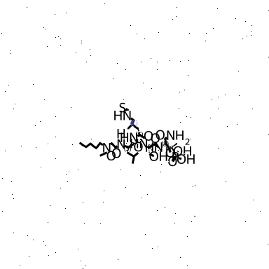 CCCCCN(CC(=O)N[C@@H](CC(C)C)C(=O)N[C@@H](C/C(C)=C/NC=S)C(=O)N[C@@H](CO)C(=O)N[C@H](C(N)=O)[C@@H](C)OP(=O)(O)O)C(C)=O